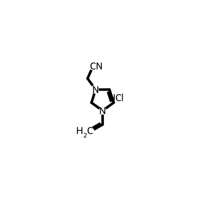 C=CN1C=CN(CC#N)C1.Cl